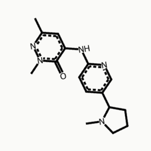 Cc1cc(Nc2ccc(C3CCCN3C)cn2)c(=O)n(C)n1